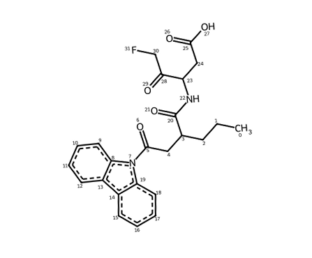 CCCC(CC(=O)n1c2ccccc2c2ccccc21)C(=O)NC(CC(=O)O)C(=O)CF